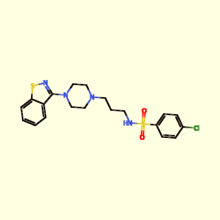 O=S(=O)(NCCCN1CCN(c2nsc3ccccc23)CC1)c1ccc(Cl)cc1